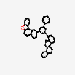 c1ccc(-c2cc(-c3ccc4ccc5oc6ccccc6c5c4c3)cc(-c3cccc4c3ccc3c5ccccc5ccc43)c2)cc1